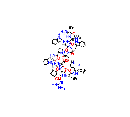 CC(C)C[C@H](NC(=O)[C@H](CCCNC(=N)N)NC(=O)[C@H](CC(=O)O)NC(=O)[C@H](Cc1ccc(O)cc1)NC(=O)[C@H](Cc1ccccc1)NC(=O)[C@@H]1CCCN1C(=O)[C@H](CO)NC(=O)[C@H](Cc1c[nH]c2ccccc12)NC(=O)[C@H](Cc1c[nH]c2ccccc12)NC(=O)[C@H](CC(=O)O)NC(=O)[C@@H](N)C(C)C)C(=O)N[C@@H](CCCCN)C(=O)O